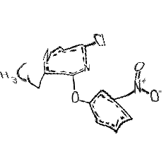 CCc1ncc(Cl)nc1Oc1cccc([N+](=O)[O-])c1